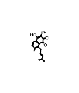 C=C(C)/C=C/Cc1c(C)ccc2c1C(=O)C(=O)C(C(C)C)=C2O